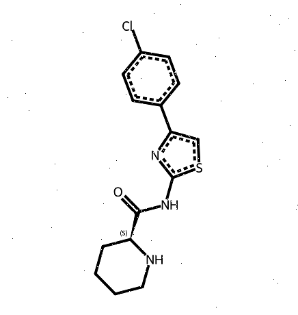 O=C(Nc1nc(-c2ccc(Cl)cc2)cs1)[C@@H]1CCCCN1